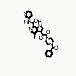 O=C(Nc1cccnc1)c1ncc(F)c2c1NCC2C(=O)C(=O)N1CCN(C(=O)c2ccccc2)CC1